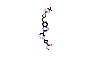 COC(=O)C1CC(N/C=C(\C=N)c2cnc3ccc(CC4CN(C(=O)OC(C)(C)C)C4)cc3n2)C1